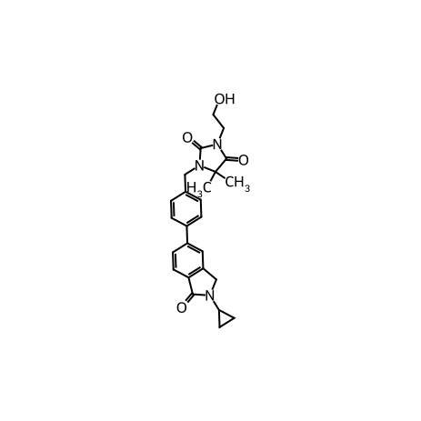 CC1(C)C(=O)N(CCO)C(=O)N1Cc1ccc(-c2ccc3c(c2)CN(C2CC2)C3=O)cc1